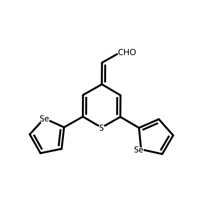 O=CC=C1C=C(c2ccc[se]2)SC(c2ccc[se]2)=C1